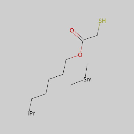 CC(C)CCCCCOC(=O)CS.[CH3][Sn][CH3]